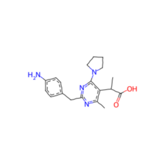 Cc1nc(Cc2ccc(N)cc2)nc(N2CCCC2)c1C(C)C(=O)O